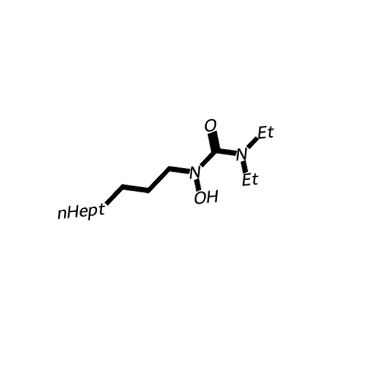 CCCCCCCCCCN(O)C(=O)N(CC)CC